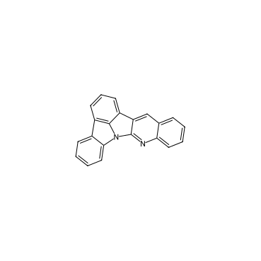 c1ccc2nc3c(cc2c1)c1cccc2c4ccccc4n3c21